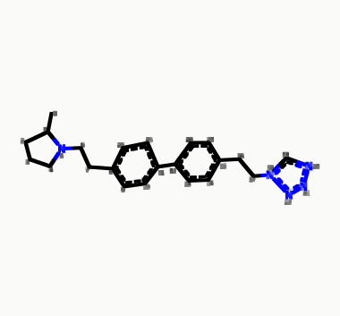 CC1CCCN1CCc1ccc(-c2ccc(CCn3cnnn3)cc2)cc1